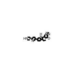 CCc1c(-c2cc(OC)c3ncnn3c2)[nH]c2cc(-c3ccc(N4CCNCC4)nc3)ccc12